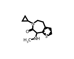 CNC1C(=O)N(C2CC2)CCc2ccsc21